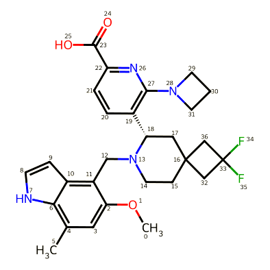 COc1cc(C)c2[nH]ccc2c1CN1CCC2(C[C@H]1c1ccc(C(=O)O)nc1N1CCC1)CC(F)(F)C2